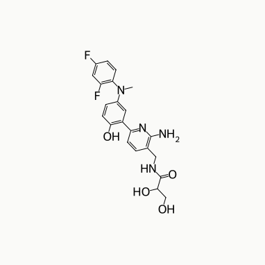 CN(c1ccc(O)c(-c2ccc(CNC(=O)C(O)CO)c(N)n2)c1)c1ccc(F)cc1F